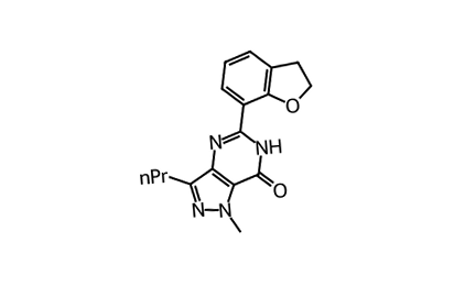 CCCc1nn(C)c2c(=O)[nH]c(-c3cccc4c3OCC4)nc12